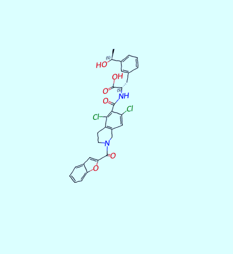 C[C@H](O)c1cccc(C[C@H](NC(=O)c2c(Cl)cc3c(c2Cl)CCN(C(=O)c2cc4ccccc4o2)C3)C(=O)O)c1